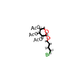 CC(=O)O[C@H]1[C@@H](OC(C)=O)COC(OCCCCBr)[C@@H]1OC(C)=O